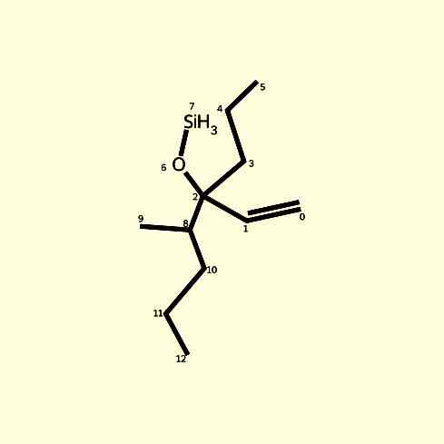 C=CC(CCC)(O[SiH3])C(C)CCC